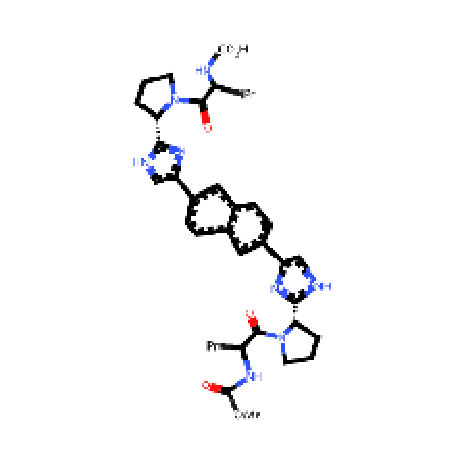 COC(=O)NC(C(=O)N1CCC[C@H]1c1nc(-c2ccc3cc(-c4c[nH]c([C@@H]5CCCN5C(=O)C(NC(=O)O)C(C)C)n4)ccc3c2)c[nH]1)C(C)C